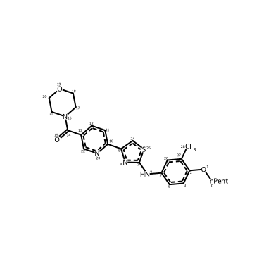 CCCCCOc1ccc(Nc2nc(-c3ccc(C(=O)N4CCOCC4)cn3)cs2)cc1C(F)(F)F